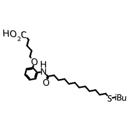 CCC(C)SCCCCCCCCCCCC(=O)Nc1ccccc1OCCCCC(=O)O